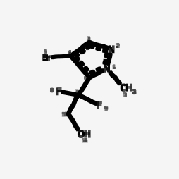 Cn1ncc(Br)c1C(F)(F)CO